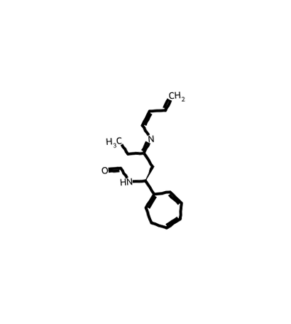 C=C/C=C\N=C(/CC)C[C@H](NC=O)C1=CCC=CC=C1